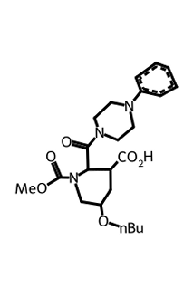 CCCCOC1CC(C(=O)O)C(C(=O)N2CCN(c3ccccc3)CC2)N(C(=O)OC)C1